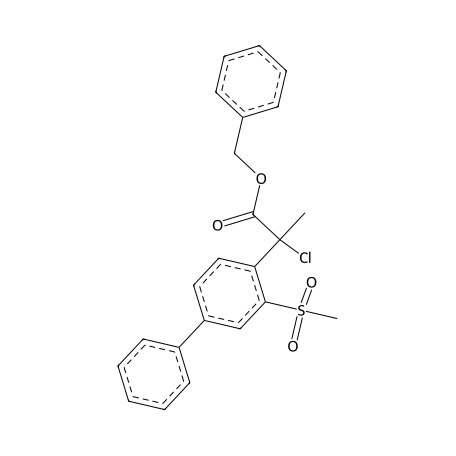 CC(Cl)(C(=O)OCc1ccccc1)c1ccc(-c2ccccc2)cc1S(C)(=O)=O